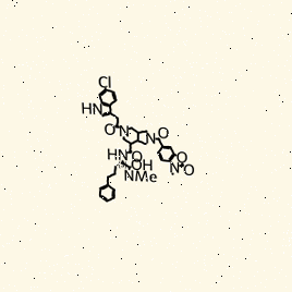 CNC(O)[C@H](CCCc1ccccc1)NC(=O)C1CN(C(=O)Cc2c[nH]c3cc(Cl)ccc23)CC2CN(C(=O)c3ccc4c(c3)oc(=O)n4C)CC21